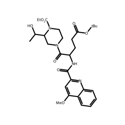 CCOC(=O)N1CCN(C(=O)C(CCC(=O)OC(C)(C)C)NC(=O)c2cc(OC)c3ccccc3n2)CC1C(C)O